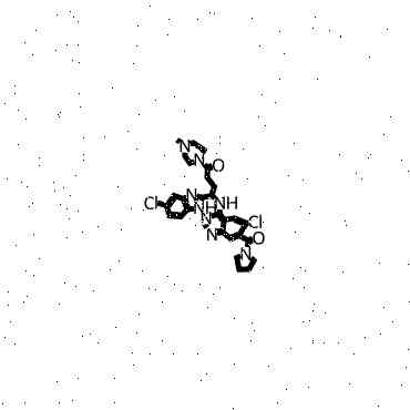 CN1CCN(C(=O)CCC(Nc2ncnc3cc(C(=O)N4CCCC4)c(Cl)cc23)c2nc3cc(Cl)ccc3[nH]2)CC1